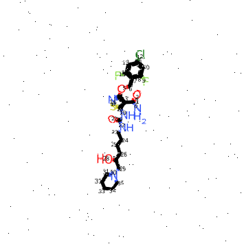 NC(=O)c1c(OCc2c(F)cc(Cl)cc2F)nsc1NC(=O)NCCCCC(O)CN1CCCCC1